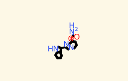 NC(=O)Oc1cccn2cc(-c3c[nH]c4ccccc34)nc12